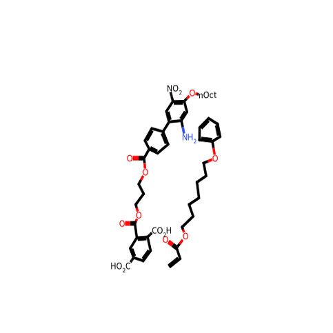 C=CC(=O)OCCCCCCCOc1ccccc1.CCCCCCCCOc1cc(N)c(-c2ccc(C(=O)OCCCOC(=O)c3cc(C(=O)O)ccc3C(=O)O)cc2)cc1[N+](=O)[O-]